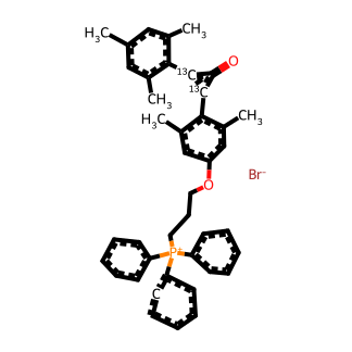 Cc1cc(C)c(-[13c]2c(=O)[13c]2-c2c(C)cc(OCCC[P+](c3ccccc3)(c3ccccc3)c3ccccc3)cc2C)c(C)c1.[Br-]